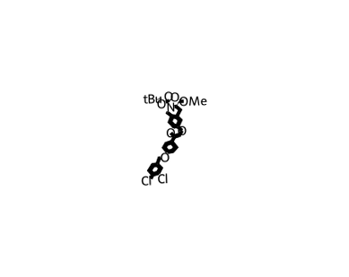 COC(=O)[C@@H]1Cc2cc3c(cc2CN1C(=O)OC(C)(C)C)OC(c1ccc(OCc2ccc(Cl)c(Cl)c2)cc1)=CO3